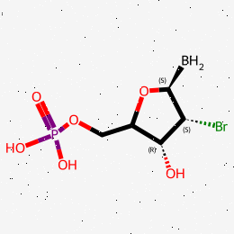 B[C@@H]1OC(COP(=O)(O)O)[C@@H](O)[C@H]1Br